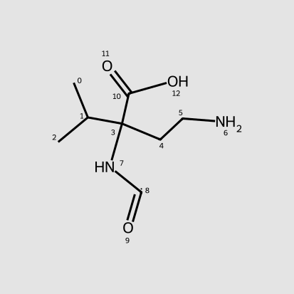 CC(C)C(CCN)(N[C]=O)C(=O)O